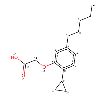 CCCCCc1ccc(C2CC2)c(OCC(=O)O)c1